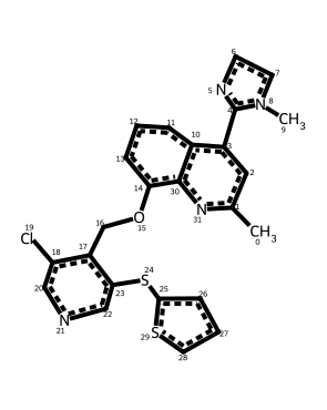 Cc1cc(-c2nccn2C)c2cccc(OCc3c(Cl)cncc3Sc3cccs3)c2n1